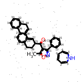 C1=CC=CNC=C1.Cc1onc(-c2ccccc2)c1C(=O)C1C=c2c(ccc3c2=CCc2ccccc2-3)CC1